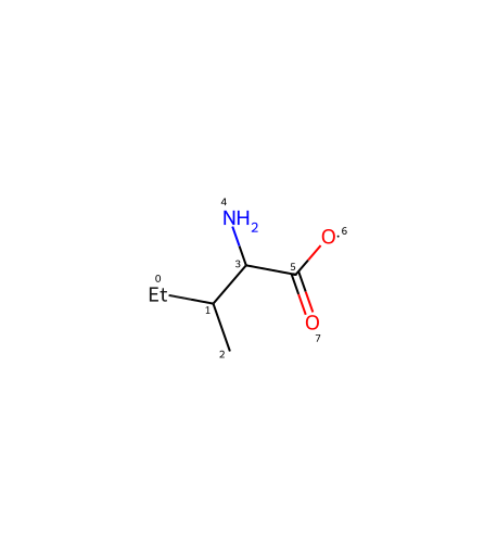 CCC(C)C(N)C([O])=O